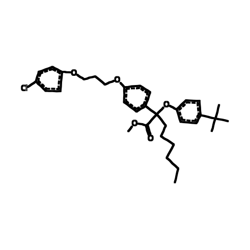 CCCCCCC(Oc1ccc(C(C)(C)C)cc1)(C(=O)OC)c1ccc(OCCCOc2ccc(Cl)cc2)cc1